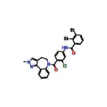 CCc1cccc(C(=O)Nc2ccc(C(=O)N3CCc4cn(C)nc4-c4ccccc43)c(Cl)c2)c1CC